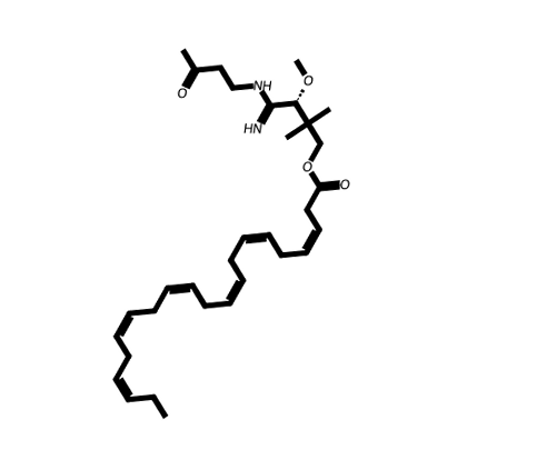 CC/C=C\C/C=C\C/C=C\C/C=C\C/C=C\C/C=C\CC(=O)OCC(C)(C)[C@@H](OC)C(=N)NCCC(C)=O